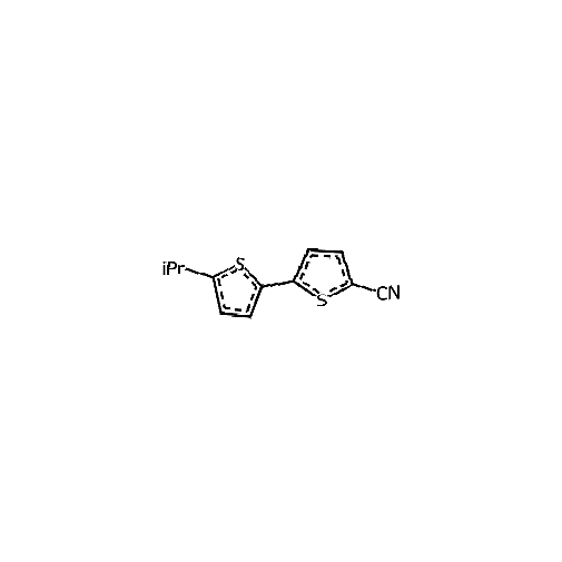 CC(C)c1ccc(-c2ccc(C#N)s2)s1